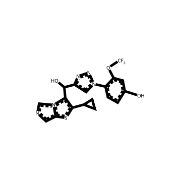 Oc1ccc(-n2cc(C(O)c3c(C4CC4)sc4cncn34)nn2)c(OC(F)(F)F)c1